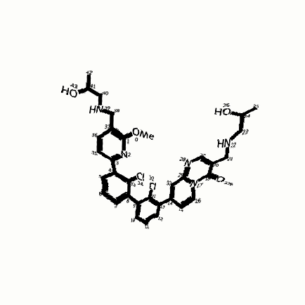 COc1nc(-c2cccc(-c3cccc(-c4ccn5c(=O)c(CNCC(C)O)cnc5c4)c3Cl)c2Cl)ccc1CNCC(C)O